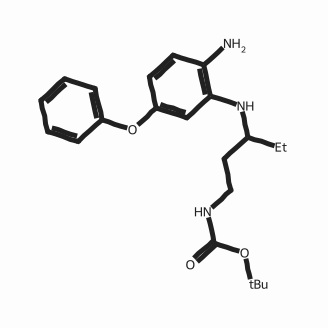 CCC(CCNC(=O)OC(C)(C)C)Nc1cc(Oc2ccccc2)ccc1N